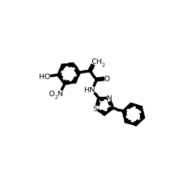 C=C(C(=O)Nc1nc(-c2ccccc2)cs1)c1ccc(O)c([N+](=O)[O-])c1